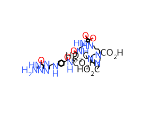 Nc1nc2ncc(CNc3ccc(C(=O)N[C@@H](CCC(=O)NCCNc4c(NCCCC(C(=O)O)N5CCN(CC(=O)O)CCN(CC(=O)O)CC5)c(=O)c4=O)C(=O)O)cc3)nc2c(=O)[nH]1